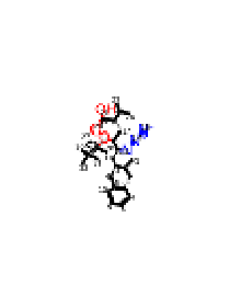 CC(C)[C@@H](Cc1ccccc1)C[C@H](N=[N+]=[N-])C(C[C@H](C(=O)O)C(C)C)O[Si](C)(C)C(C)(C)C